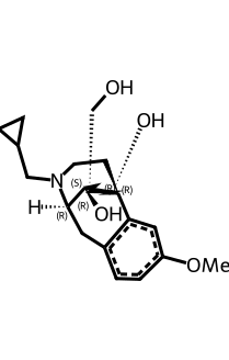 COc1ccc2c(c1)[C@]13CCN(CC4CC4)[C@H](C2)[C@]1(O)C[C@H](CO)[C@H](O)C3